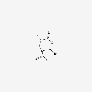 CC(CN(CBr)C(=O)O)[N+](=O)[O-]